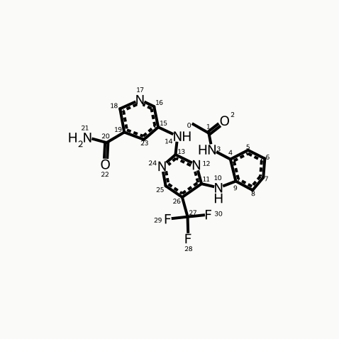 CC(=O)Nc1ccccc1Nc1nc(Nc2cncc(C(N)=O)c2)ncc1C(F)(F)F